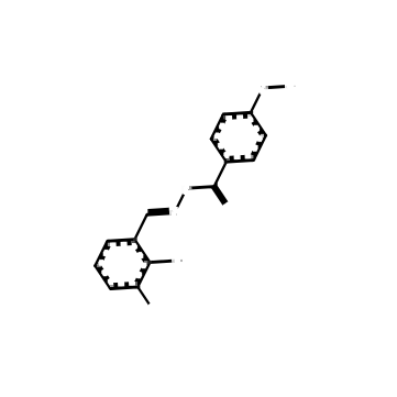 O=C(N/N=C/c1cccc(Cl)c1O)c1ccc(NO)cc1